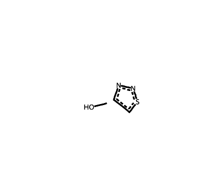 CO.c1csnn1